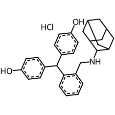 Cl.Oc1ccc(C(c2ccc(O)cc2)c2ccccc2CNC2C3CC4CC(C3)CC2C4)cc1